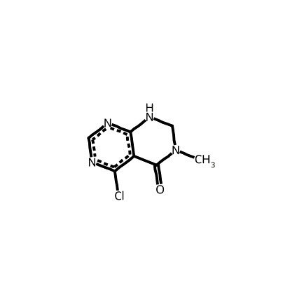 CN1CNc2ncnc(Cl)c2C1=O